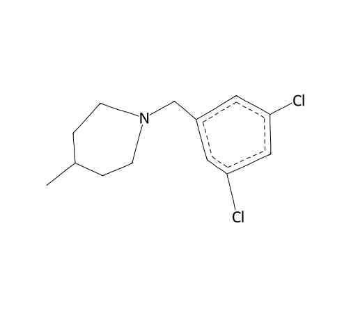 CC1CCN(Cc2cc(Cl)cc(Cl)c2)CC1